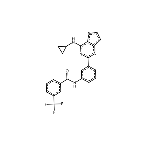 O=C(Nc1cccc(-c2nc(NC3CC3)c3sccc3n2)c1)c1cccc(C(F)(F)F)c1